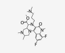 COC(=O)C1C2CN(C)C(C)CN2c2c(c(=O)n(C)c3c(F)cc(F)cc23)N1CCCN(C)C